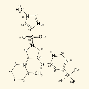 CC1CCCCN1C1CN(S(=O)(=O)c2cn(C)cn2)CC1Oc1cc(C(F)(F)F)ncn1